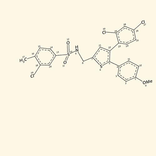 COc1ccc(-c2sc(CNS(=O)(=O)c3ccc(C)c(Cl)c3)cc2-c2ccc(Cl)cc2Cl)cc1